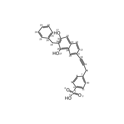 O=S(=O)(O)c1ccc(CC#Cc2ccc3cc(O)c(Cc4ccccc4)c(O)c3c2)cc1